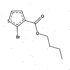 CCCCOC(=O)c1ccsc1Br